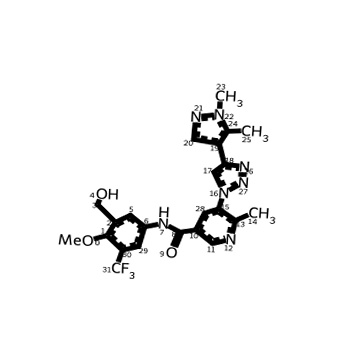 COc1c(CO)cc(NC(=O)c2cnc(C)c(-n3cc(-c4cnn(C)c4C)nn3)c2)cc1C(F)(F)F